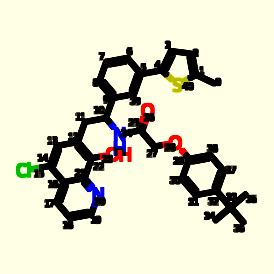 Cc1ccc(-c2cccc(C(Cc3cc(Cl)c4cccnc4c3O)NC(=O)COc3ccc(C(C)(C)C)cc3)c2)s1